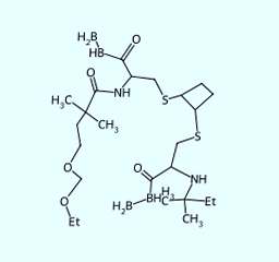 BBC(=O)C(CSC1CCC1SCC(NC(C)(C)CC)C(=O)BB)NC(=O)C(C)(C)CCOCOCC